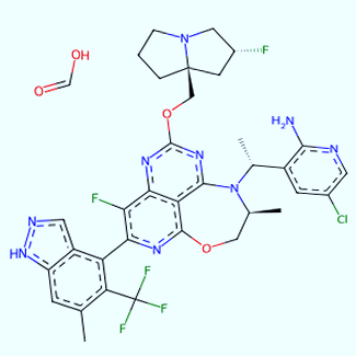 Cc1cc2[nH]ncc2c(-c2nc3c4c(nc(OC[C@@]56CCCN5C[C@H](F)C6)nc4c2F)N([C@H](C)c2cc(Cl)cnc2N)[C@@H](C)CO3)c1C(F)(F)F.O=CO